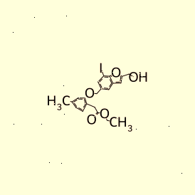 CCOC(=O)Cc1ccc(C)cc1OCc1cc(I)c2oc(CO)cc2c1